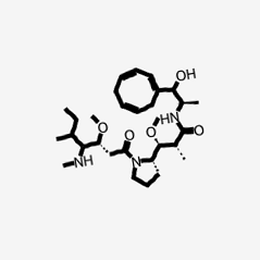 CCC(C)C(NC)[C@@H](CC(=O)N1CCC[C@H]1[C@H](OC)[C@@H](C)C(=O)N[C@H](C)C(O)/C1=C/C=CC/C=C\C1)OC